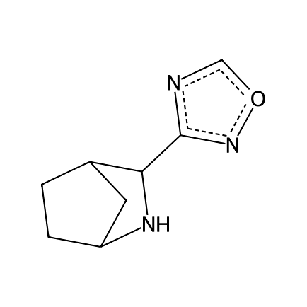 c1nc(C2NC3CCC2C3)no1